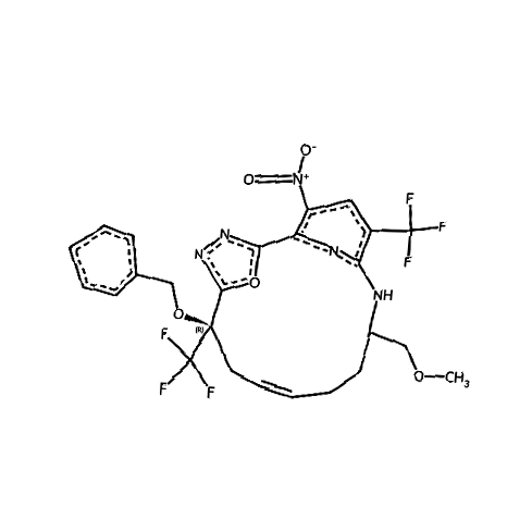 COCC1CCC=CC[C@](OCc2ccccc2)(C(F)(F)F)c2nnc(o2)-c2nc(c(C(F)(F)F)cc2[N+](=O)[O-])N1